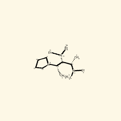 CCN(C)[C@@H](C)[C@H]([C@H](C)N1CCCC1)N(CC)CC